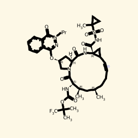 CC(C)n1nc(O[C@@H]2C[C@H]3C(=O)N[C@]4(C(=O)NS(=O)(=O)C5(C)CC5)CC4/C=C\CC[C@@H](C)C[C@@H](C)[C@H](NC(=O)OC(C)(C)C(F)(F)F)C(=O)N3C2)c2ccccc2c1=O